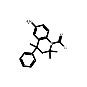 CCC(=O)N1c2ccc(N)cc2C(C)(c2ccccc2)CC1(C)C